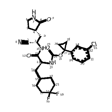 N#C[C@H](C[C@@H]1CCNC1=O)NC(=O)[C@H](CC1CCC(F)(F)CC1)NC(=O)OC1(c2cccc(Cl)c2)CC1